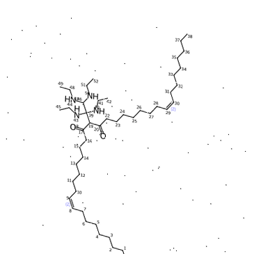 CCCCCCCC/C=C\CCCCCCCC(=O)C(C(=O)CCCCCCC/C=C\CCCCCCCC)C(NCC)(NCC)[C](NCC)NCC